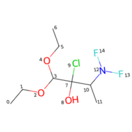 CCOC(OCC)C(O)(Cl)C(C)N(F)F